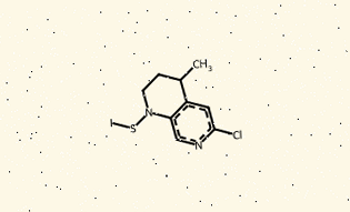 CC1CCN(SI)c2cnc(Cl)cc21